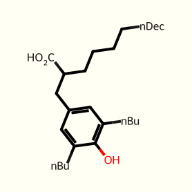 CCCCCCCCCCCCCCC(Cc1cc(CCCC)c(O)c(CCCC)c1)C(=O)O